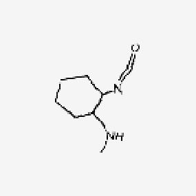 CNC1CCCCC1N=C=O